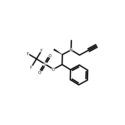 C#CCN(C)[C@H](C)C(OS(=O)(=O)C(F)(F)F)c1ccccc1